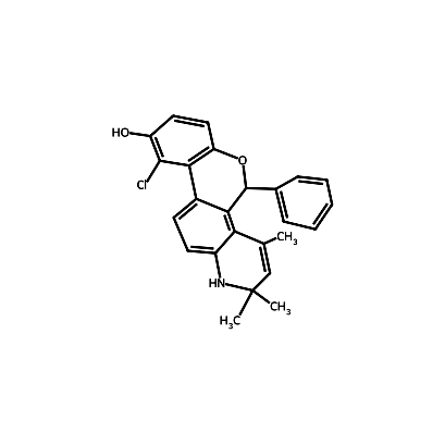 CC1=CC(C)(C)Nc2ccc3c(c21)C(c1ccccc1)Oc1ccc(O)c(Cl)c1-3